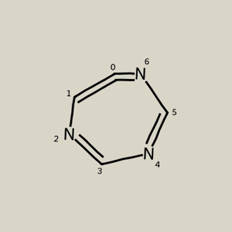 C1=CN=CN=CN=1